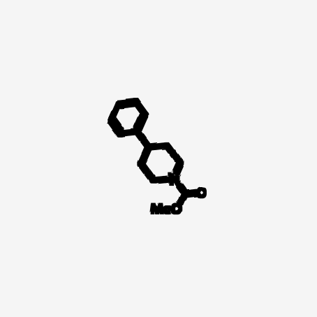 COC(=O)N1CCC(c2ccccc2)CC1